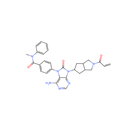 C=CC(=O)N1CC2CC(n3c(=O)n(-c4ccc(C(=O)N(C)c5ccccc5)cc4)c4c(N)ncnc43)CC2C1